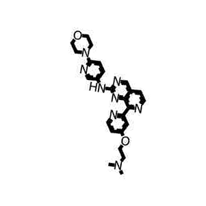 CN(C)CCOc1ccnc(-c2nccc3cnc(Nc4ccc(N5CCOCC5)nc4)nc23)c1